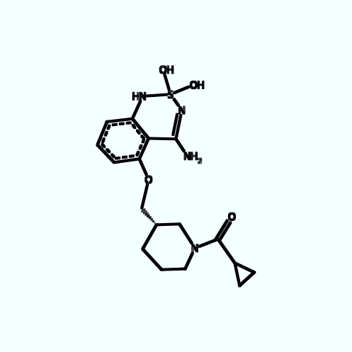 NC1=NS(O)(O)Nc2cccc(OC[C@H]3CCCN(C(=O)C4CC4)C3)c21